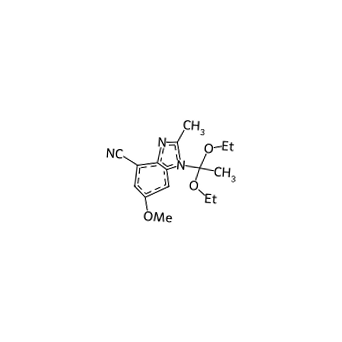 CCOC(C)(OCC)n1c(C)nc2c(C#N)cc(OC)cc21